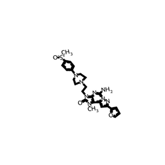 Cn1c(=O)n(CCN2CCN(c3ccc([S+](C)[O-])cc3)CC2)c2nc(N)n3nc(-c4ccco4)cc3c21